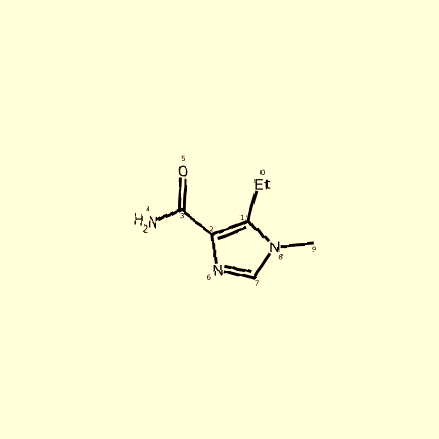 CCc1c(C(N)=O)ncn1C